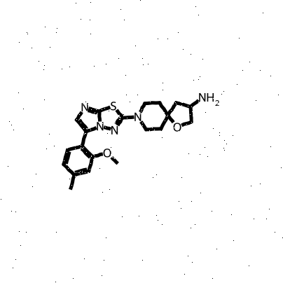 COc1cc(C)ccc1-c1cnc2sc(N3CCC4(CC3)CC(N)CO4)nn12